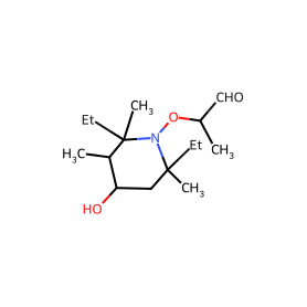 CCC1(C)CC(O)C(C)C(C)(CC)N1OC(C)C=O